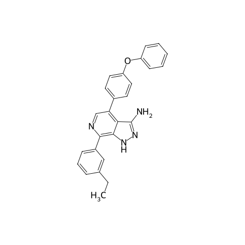 CCc1cccc(-c2ncc(-c3ccc(Oc4ccccc4)cc3)c3c(N)n[nH]c23)c1